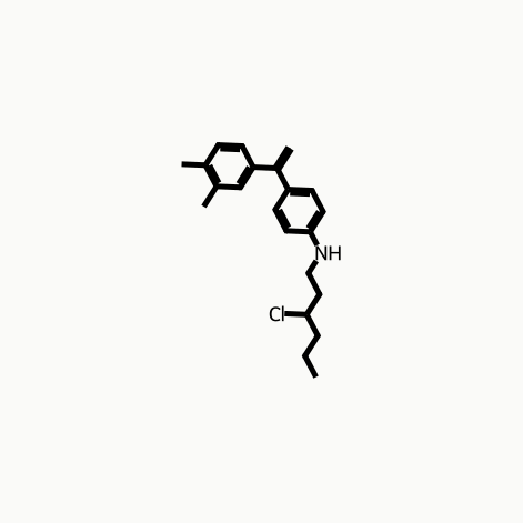 C=C(c1ccc(NCCC(Cl)CCC)cc1)c1ccc(C)c(C)c1